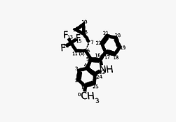 Cc1ccc2c([C@@H](CC3CC3)CC(F)(F)F)c(-c3ccccc3)[nH]c2c1